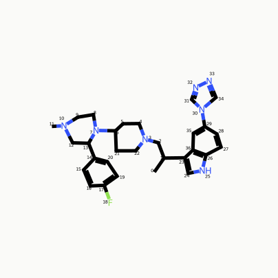 CC(CN1CCC(N2CCN(C)CC2c2ccc(F)cc2)CC1)c1c[nH]c2ccc(-n3cnnc3)cc12